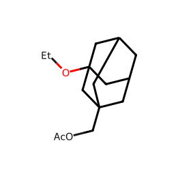 CCOC12CC3CC(CC(COC(C)=O)(C3)C1)C2